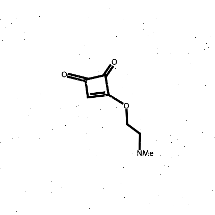 CNCCOc1cc(=O)c1=O